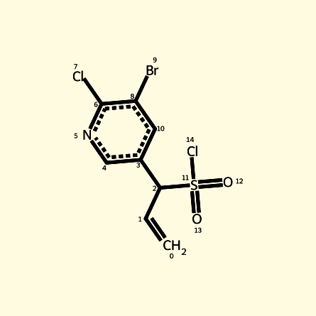 C=CC(c1cnc(Cl)c(Br)c1)S(=O)(=O)Cl